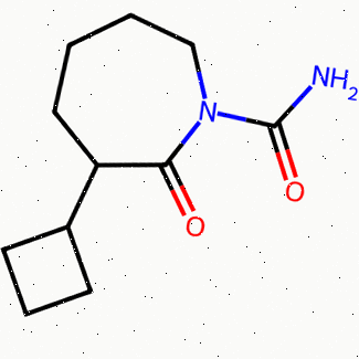 NC(=O)N1CCCCC(C2CCC2)C1=O